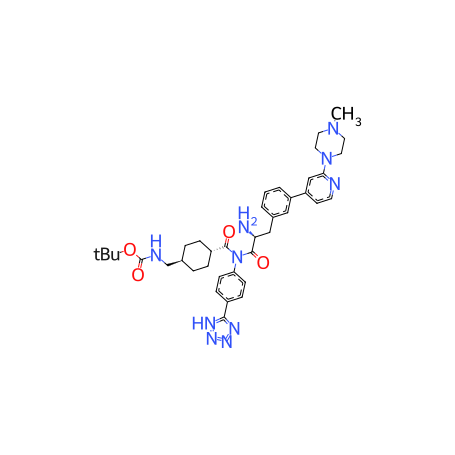 CN1CCN(c2cc(-c3cccc(C[C@H](N)C(=O)N(c4ccc(-c5nnn[nH]5)cc4)C(=O)[C@H]4CC[C@H](CNC(=O)OC(C)(C)C)CC4)c3)ccn2)CC1